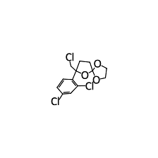 ClCC1(c2ccc(Cl)cc2Cl)CCC2(OCCO2)O1